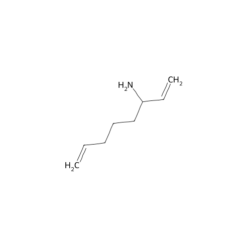 C=CCCCC(N)C=C